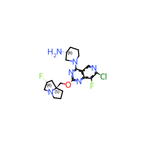 N[C@@H]1CCCN(c2nc(OC[C@@]34CCCN3C[C@H](F)C4)nc3c(F)c(Cl)ncc23)C1